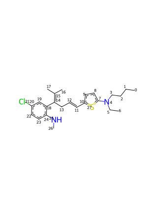 CCCCN(CC)c1ccc(/C=C/CC(=C(C)C)c2cc(Cl)ccc2NC)s1